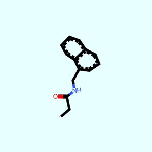 [CH2]CC(=O)NCc1cccc2ccccc12